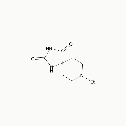 CCN1CCC2(CC1)NC(=O)NC2=O